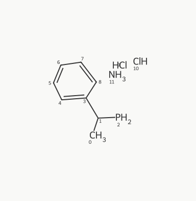 CC(P)c1ccccc1.Cl.Cl.N